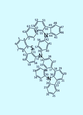 c1ccc(-c2cccc3c2sc2c(N(c4ccc(-c5cccc6c7ccccc7n(-c7ccccc7)c56)cc4)c4ccc(-n5c6ccccc6c6ccccc65)cc4)cccc23)cc1